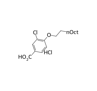 CCCCCCCCCCOc1ccc(C(=O)O)cc1Cl.Cl